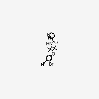 CC1(C)[C@H](NC(=O)c2cccnn2)C(C)(C)[C@H]1Oc1ccc(C#N)c(Br)c1